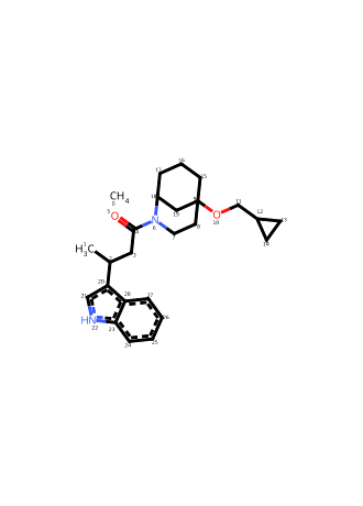 C.CC(CC(=O)N1CCC2(OCC3CC3)CCCC1C2)c1c[nH]c2ccccc12